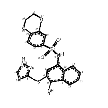 O=S(=O)(Nc1cc(Sc2nc[nH]n2)c(O)c2ccccc12)c1ccc2c(c1)OCCO2